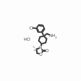 C[C@H]1COC(=O)N1C1CCC(CN)(c2cccc(Cl)c2)CC1.Cl